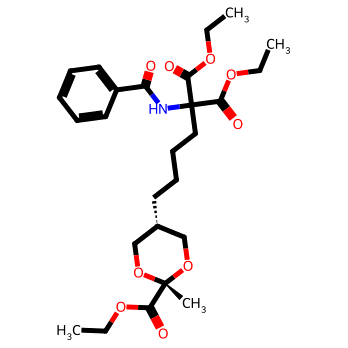 CCOC(=O)C(CCCC[C@H]1CO[C@@](C)(C(=O)OCC)OC1)(NC(=O)c1ccccc1)C(=O)OCC